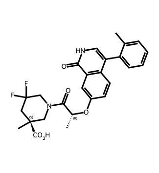 Cc1ccccc1-c1c[nH]c(=O)c2cc(O[C@H](C)C(=O)N3CC(F)(F)C[C@](C)(C(=O)O)C3)ccc12